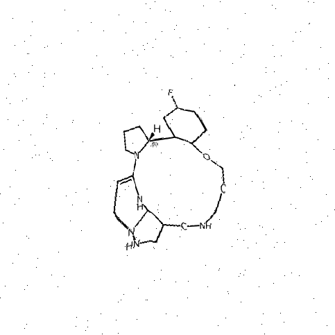 FC1CCC2OCCCNCC3CNN4CC=C(NC34)N3CCC[C@@H]3C2C1